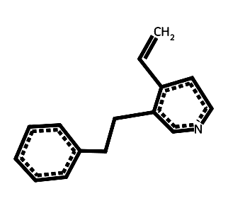 C=Cc1ccncc1CCc1ccccc1